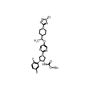 CCn1nnc(N2CCC([C@H](C)Oc3cnc(N4C[C@H](NC(=O)OC(C)(C)C)[C@@H](c5cc(F)ccc5F)C4)nc3)CC2)n1